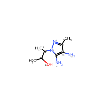 Cc1nn(C(C)C(C)O)c(N)c1N